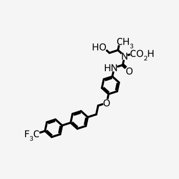 CC(CO)N(C(=O)O)C(=O)Nc1ccc(OCCc2ccc(-c3ccc(C(F)(F)F)cc3)cc2)cc1